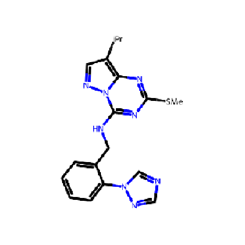 CSc1nc(NCc2ccccc2-n2cncn2)n2ncc(C(C)C)c2n1